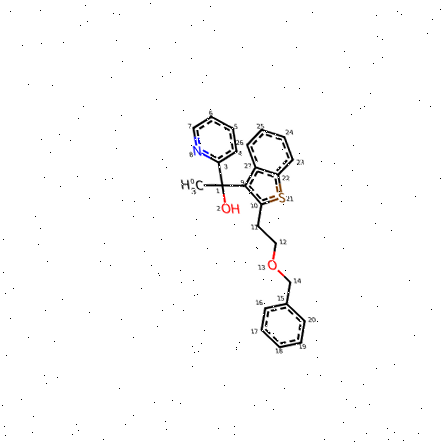 CC(O)(c1ccccn1)c1c(CCOCc2ccccc2)sc2ccccc12